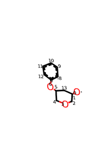 [O]C1COCC(Oc2[c]cccc2)C1